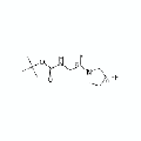 C[C@H](CNC(=O)OC(C)(C)C)N1CC[C@@H](F)C1